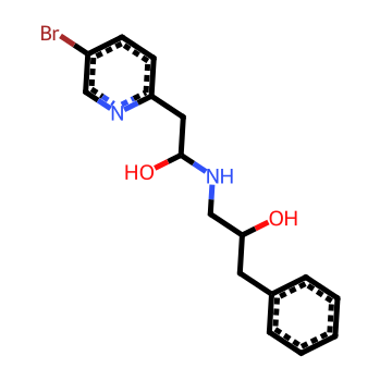 OC(CNC(O)Cc1ccc(Br)cn1)Cc1ccccc1